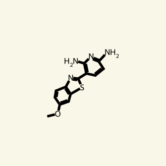 COc1ccc2nc(-c3ccc(N)nc3N)sc2c1